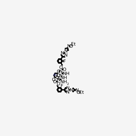 CCON=C1CN(c2ncc(-c3cccc(COC(=O)N(OC(=O)/C=C\C(=O)ON(C(=N)N)C(=O)OCc4cccc(-c5cnc(N6CC(=NOCC)C6)nc5)c4F)C(=N)N)c3F)cn2)C1